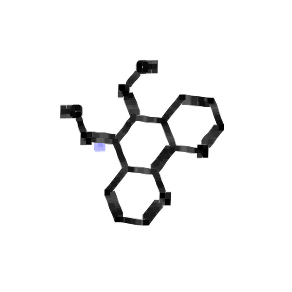 ON=C1/C(=N\O)C2C=CC=NC2=C2N=CC=CC12